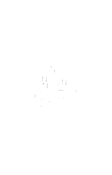 COc1ccc(CCN(C)CCC(C#N)(c2ncc3c(c2O)COC3(C)c2ccco2)C(C)C)cc1OC